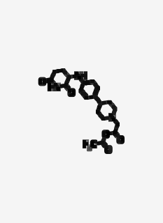 O=C1CCC(Nc2ccc(C3CCN(CC(=O)OC(=O)C(F)(F)F)CC3)cc2)C(=O)N1